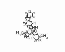 CCc1sc2c(c1NC(=O)NS(=O)(=O)N(c1cnn(C)c1)C1CCCN(C)C1)CCCC2